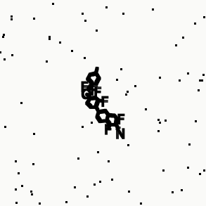 Cc1ccc(C(F)(F)Oc2ccc(-c3ccc4c(F)c(C#N)c(F)cc4c3)c(F)c2F)cc1